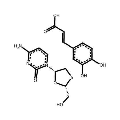 Nc1ccn([C@@H]2CS[C@H](CO)O2)c(=O)n1.O=C(O)C=Cc1ccc(O)c(O)c1